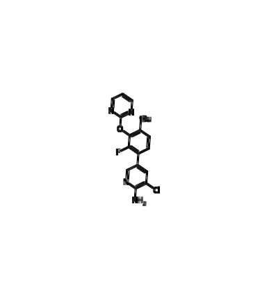 CC(C)(C)c1ccc(-c2cnc(N)c(Cl)c2)c(F)c1Oc1ncccn1